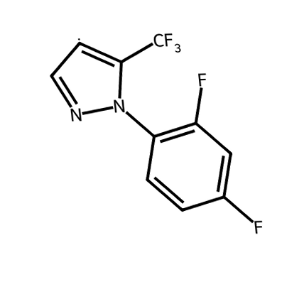 Fc1ccc(-n2nc[c]c2C(F)(F)F)c(F)c1